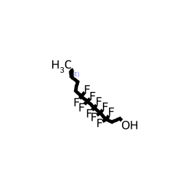 C/C=C/CCC(F)(F)C(F)(F)C(F)(F)C(F)(F)C(F)(F)CCO